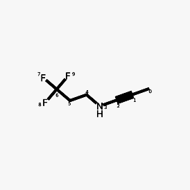 CC#CNCCC(F)(F)F